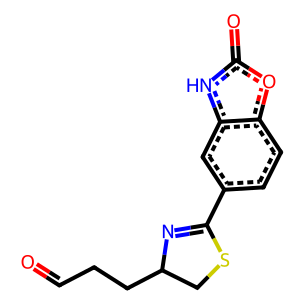 O=CCCC1CSC(c2ccc3oc(=O)[nH]c3c2)=N1